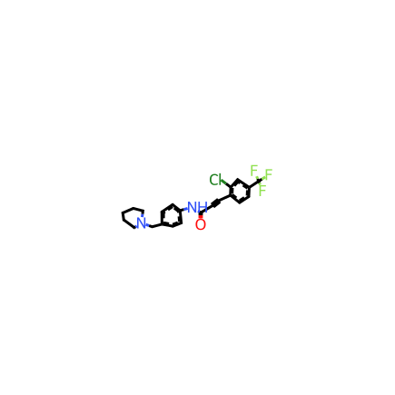 O=C(C#Cc1ccc(C(F)(F)F)cc1Cl)Nc1ccc(CN2CCCCC2)cc1